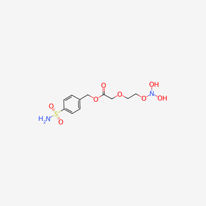 NS(=O)(=O)c1ccc(COC(=O)COCCON(O)O)cc1